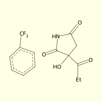 CCC(=O)C1(O)CC(=O)NC1=O.FC(F)(F)c1ccccc1